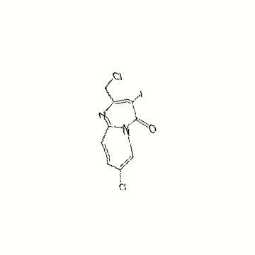 O=c1c(I)c(CCl)nc2ccc(Cl)cn12